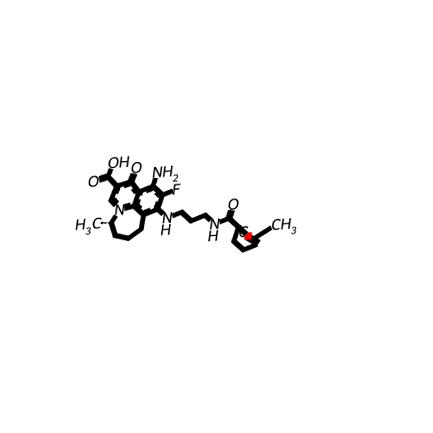 CC1CC2(C(=O)NCCCNc3c(F)c(N)c4c(=O)c(C(=O)O)cn5c4c3CCC[C@@H]5C)CC=C1CC2